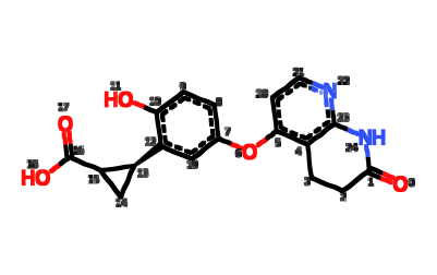 O=C1CCc2c(Oc3ccc(O)c([C@H]4CC4C(=O)O)c3)ccnc2N1